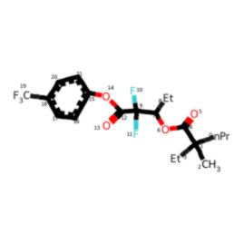 CCCC(C)(CC)C(=O)OC(CC)C(F)(F)C(=O)Oc1ccc(C(F)(F)F)cc1